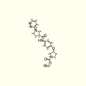 CC(C)(C)OC(=O)N1CCC(Oc2ccc(NC(=O)C3CCN(c4cccnn4)C3)cc2)C1